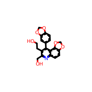 OCCc1c(CO)nc2ccc3c(c2c1-c1ccc2c(c1)OCO2)OCO3